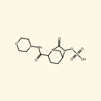 O=C(NN1CCOCC1)C1CCC2CN1C(=O)N2OS(=O)(=O)O